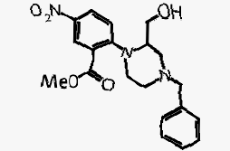 COC(=O)c1cc([N+](=O)[O-])ccc1N1CCN(Cc2ccccc2)CC1CO